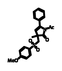 COc1ccc(S(=O)(=O)CC2(C)C=C(c3ccccc3)N(C(C)=O)C2=O)cc1